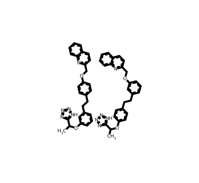 CC(Oc1ccc(CCc2cccc(OCc3ccc4ccccc4n3)c2)cc1)c1nnn[nH]1.CC(Oc1cccc(CCc2ccc(OCc3ccc4ccccc4n3)cc2)c1)c1nnn[nH]1